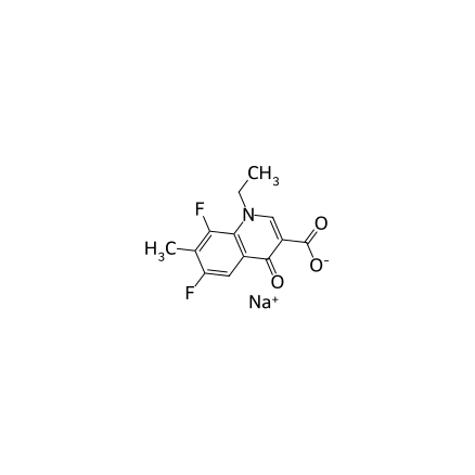 CCn1cc(C(=O)[O-])c(=O)c2cc(F)c(C)c(F)c21.[Na+]